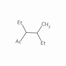 CCC(C)C(CC)C(C)=O